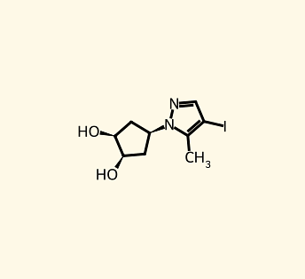 Cc1c(I)cnn1[C@H]1C[C@@H](O)[C@@H](O)C1